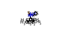 CC(C)(C)c1cc(-c2nc(=S)[nH]n2CC2CCCCC2)cc(C(C)(C)C)c1